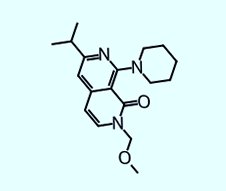 COCn1ccc2cc(C(C)C)nc(N3CCCCC3)c2c1=O